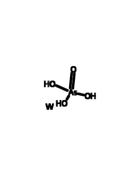 O=[As](O)(O)O.[W]